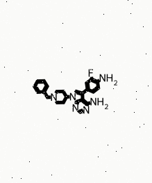 Nc1ccc(-c2cn(C3CCN(Cc4ccccc4)CC3)c3ncnc(N)c23)cc1F